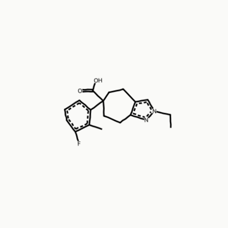 CCn1cc2c(n1)CCC(C(=O)O)(c1cccc(F)c1C)CC2